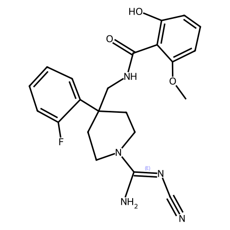 COc1cccc(O)c1C(=O)NCC1(c2ccccc2F)CCN(/C(N)=N/C#N)CC1